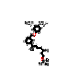 CCC(=CCCC(CC)CCO[Si](CC)(CC)CC)c1cccc(COc2ccc(C(=O)O)c(C(=O)O)c2)c1